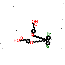 O=C(/C=C/c1ccc(OCCCCCCCCC2(CCCCCCCCOc3ccc(/C=C/C(=O)CO)cc3)c3cc(Br)ccc3-c3ccc(Br)cc32)cc1)CO